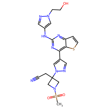 CS(=O)(=O)N1CC(CC#N)(n2cc(-c3nc(Nc4cnn(CCO)c4)nc4ccsc34)cn2)C1